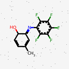 CC1=CC(=Nc2c(F)c(F)c(F)c(F)c2F)C(O)C=C1